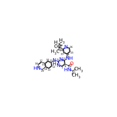 CC(C)NC(=O)c1cnc(Nc2ccc3c(c2)C=CNC3)nc1Nc1ccnc(C(C)(C)C)c1